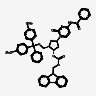 COc1ccc(C(OC[C@H]2O[C@@H](n3ccc(NC(=O)c4ccccc4)nc3=O)C[C@@H]2OC(=O)OCC2c3ccccc3-c3ccccc32)(c2ccccc2)c2ccc(OC)cc2)cc1